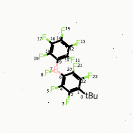 CC(C)(C)c1c(F)c(F)c(B(F)c2c(F)c(F)c(F)c(F)c2F)c(F)c1F